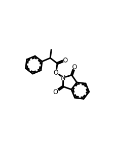 CC(C(=O)ON1C(=O)c2ccccc2C1=O)c1ccccc1